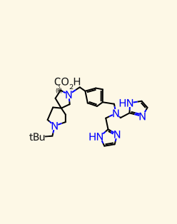 CC(C)(C)CN1CCC2(CC1)C[C@H](C(=O)O)N(Cc1ccc(CN(Cc3ncc[nH]3)Cc3ncc[nH]3)cc1)C2